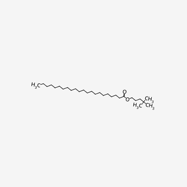 CCCCCCCCCCCCCCCCCCCCCC(=O)OCCCC(C)(C)C